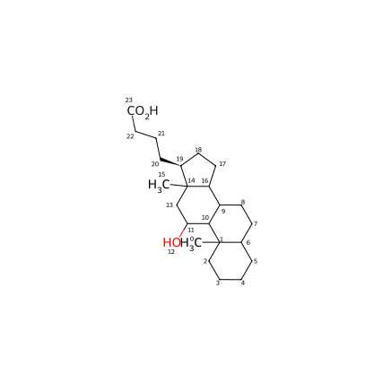 CC12CCCCC1CCC1C2C(O)CC2(C)C1CC[C@@H]2CCCC(=O)O